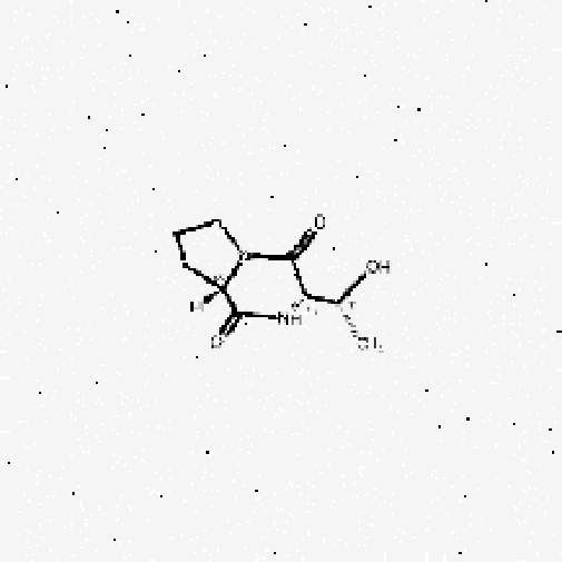 C[C@@H](O)[C@@H]1NC(=O)[C@@H]2CCCN2C1=O